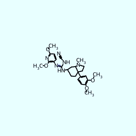 COc1ccc(/N=C(\NC#N)NC2CCC3(c4ccc(OC)c(OC)c4)CCN(C)C3C2)c(OC)n1